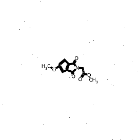 COC(=O)CN1C(=O)c2ccc(OC)cc2C1=O